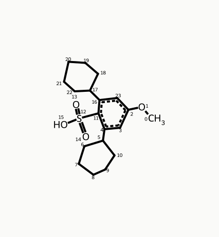 COc1cc(C2CCCCC2)c(S(=O)(=O)O)c(C2CCCCC2)c1